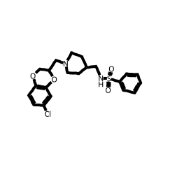 O=S(=O)(NCC1CCN(CC2COc3ccc(Cl)cc3O2)CC1)c1ccccc1